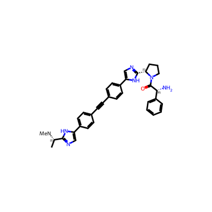 CN[C@@H](C)c1ncc(-c2ccc(C#Cc3ccc(-c4cnc([C@@H]5CCCN5C(=O)[C@H](N)c5ccccc5)[nH]4)cc3)cc2)[nH]1